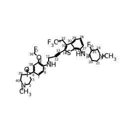 CN1CCP(=O)(c2ccc(NCC#Cc3sc4c(N[C@H]5CCN(C)C[C@@H]5F)cccc4c3CC(F)(F)F)c(OCF)c2)CC1